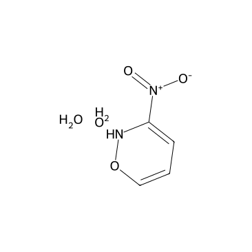 O.O.O=[N+]([O-])C1=CC=CON1